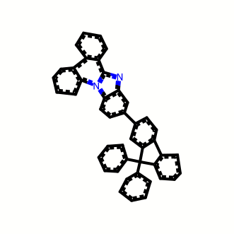 c1ccc(C2(c3ccccc3)c3ccccc3-c3ccc(-c4ccc5c(c4)nc4c6ccccc6c6ccccc6n54)cc32)cc1